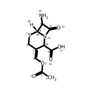 CC(=O)O/C=C1/CS[C@@H]2C(N)C(=O)N2C1C(=O)O